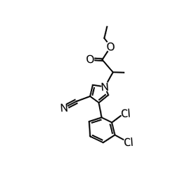 CCOC(=O)C(C)n1cc(C#N)c(-c2cccc(Cl)c2Cl)c1